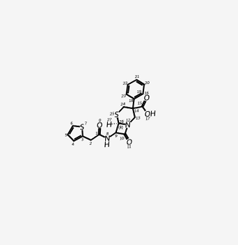 O=C(Cc1cccs1)NC1C(=O)N2CC(C(=O)O)(c3ccccc3)CS[C@H]12